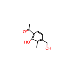 CC(=O)c1ccc(CO)c(C)c1O